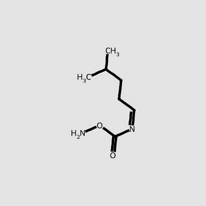 CC(C)CC/C=N\C(=O)ON